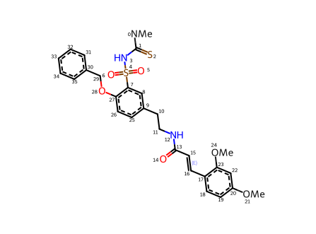 CNC(=S)NS(=O)(=O)c1cc(CCNC(=O)/C=C/c2ccc(OC)cc2OC)ccc1OCc1ccccc1